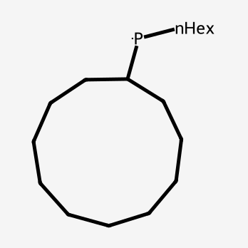 CCCCCC[P]C1CCCCCCCCCC1